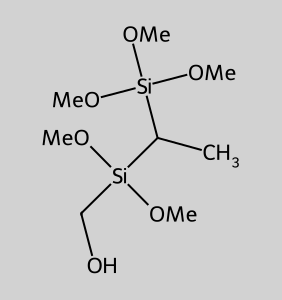 CO[Si](CO)(OC)C(C)[Si](OC)(OC)OC